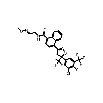 CO/N=C/CNC(=O)c1ccc(C2=NOC(c3cc(Cl)c(Cl)c(C(F)(F)F)c3)(C(F)(F)F)C2)c2ccccc12